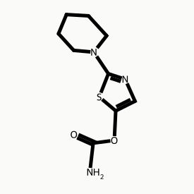 NC(=O)Oc1cnc(N2CCCCC2)s1